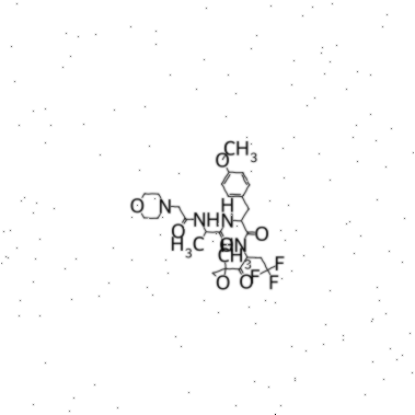 COc1ccc(CC(NC(=O)C(C)NC(=O)CN2CCOCC2)C(=O)NC(CC(F)(F)F)C(=O)C2(C)CO2)cc1